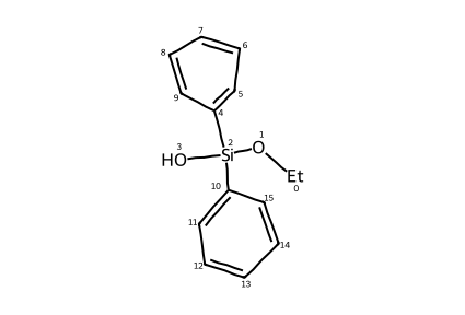 CCO[Si](O)(c1ccccc1)c1ccccc1